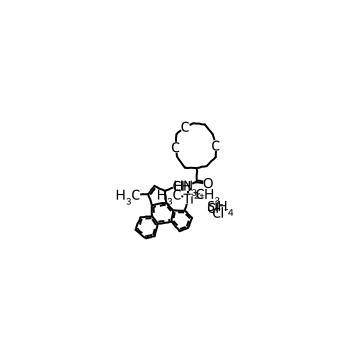 CC1=CC(C)c2c1c1ccccc1c1ccc[c]([Ti+2]([CH3])([CH3])[NH]C(=O)C3CCCCCCCCCCC3)c21.[Cl-].[Cl-].[SiH4]